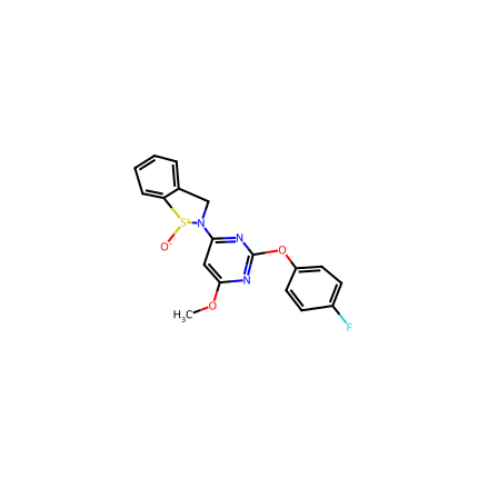 COc1cc(N2Cc3ccccc3[S+]2[O-])nc(Oc2ccc(F)cc2)n1